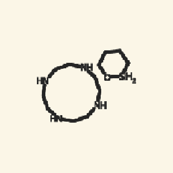 C1CC[SiH2]OC1.C1CNCCNCCNCCN1